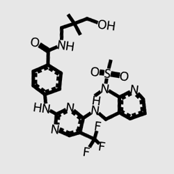 CN(c1ncccc1CNc1nc(Nc2ccc(C(=O)NCC(C)(C)CO)cc2)ncc1C(F)(F)F)S(C)(=O)=O